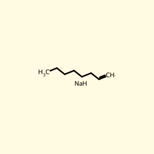 [CH]=CCCCCCC.[NaH]